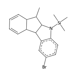 CC1C2C=CC=CC2C2c3cc(Br)ccc3N([Si](C)(C)C)C12